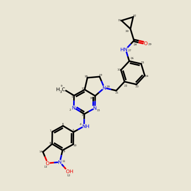 Cc1nc(Nc2ccc3c(c2)N(O)OC3)nc2c1CCN2Cc1cccc(NC(=O)C2CC2)c1